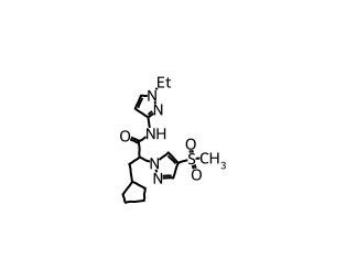 CCn1ccc(NC(=O)C(CC2CCCC2)n2cc(S(C)(=O)=O)cn2)n1